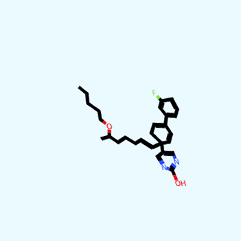 CCCCCOC(C)CCCC=CC1(c2cnc(O)nc2)C=CC(c2cccc(F)c2)=CC1